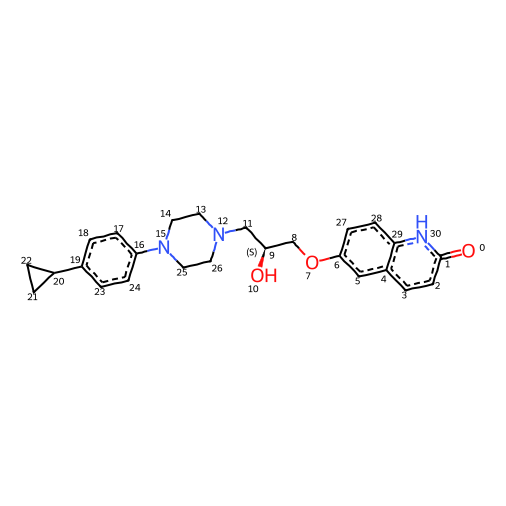 O=c1ccc2cc(OC[C@@H](O)CN3CCN(c4ccc(C5CC5)cc4)CC3)ccc2[nH]1